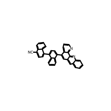 N#Cc1ccc(-c2ccc(-c3cc4cc5ccccc5nc4c4ncccc34)c3ccccc23)c2ccccc12